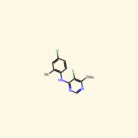 COc1ncnc(Nc2ccc(Cl)cc2C#N)c1F